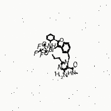 CCCc1nc(N)c(C(=O)NC)n1Cc1ccc2oc(-c3ccccc3NS(=O)(=O)C(F)(F)F)c(Br)c2c1